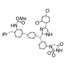 COC(=O)Nc1cc(-c2ccc(C(c3cccc(N4CC(=O)NS4(=O)=O)c3)c3nc(-c4ccc(Cl)cc4Cl)c[nH]3)cc2)ccc1CC(C)C